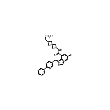 CCOC(=O)CC1CC2(C1)CC(NC(=O)c1cc(Cl)cc3cnn(Cc4ccc(-c5ccccc5)nc4)c13)C2